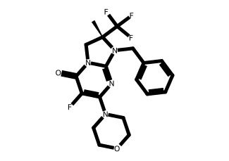 C[C@]1(C(F)(F)F)Cn2c(nc(N3CCOCC3)c(F)c2=O)N1Cc1ccccc1